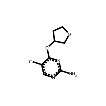 Nc1ncc(Cl)c(OC2CCOC2)n1